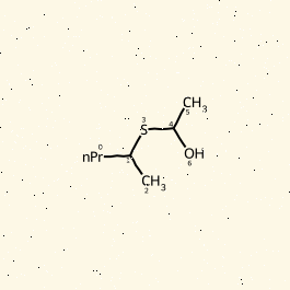 CCCC(C)SC(C)O